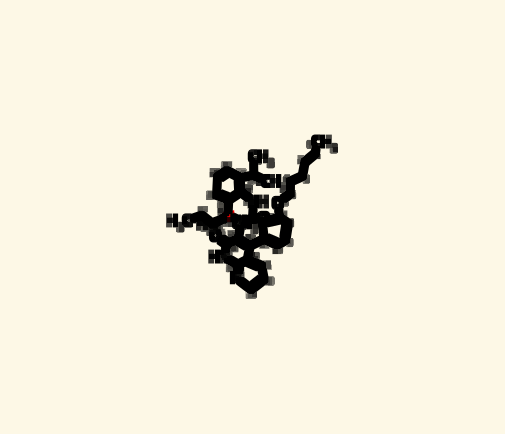 CCCCCCOc1cccc(-c2c(N(CCCC)C(=O)Nc3c(C(C)C)cccc3C(C)C)c(=O)[nH]c3ncccc23)c1